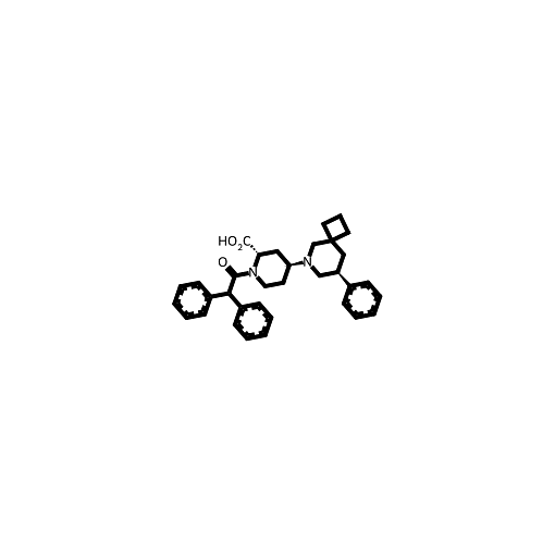 O=C(O)[C@@H]1C[C@@H](N2C[C@H](c3ccccc3)CC3(CCC3)C2)CCN1C(=O)C(c1ccccc1)c1ccccc1